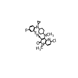 CN(c1c(C#N)c(=O)n(C)c2ccc(Cl)nc12)C1CCC(N(c2ccc(F)cc2F)C2CC2)CC1